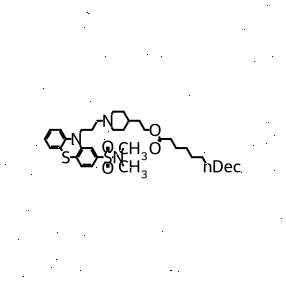 CCCCCCCCCCCCCCCC(=O)OCCC1CCN(CCCN2c3ccccc3Sc3ccc(S(=O)(=O)N(C)C)cc32)CC1